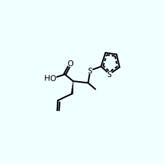 C=CC[C@@H](C(=O)O)C(C)Sc1cccs1